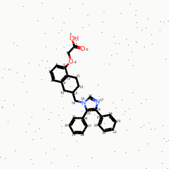 O=C(O)COc1cccc2c1CCC(Cn1cnc(-c3ccccc3)c1-c1ccccc1)C2